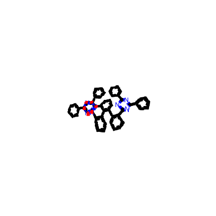 c1ccc(-c2nc(-c3ccccc3)nc(-c3ccccc3-c3cccc(-c4ccccn4)c3-c3ccccc3-c3nc(-c4ccccc4)nc(-c4ccccc4)n3)n2)cc1